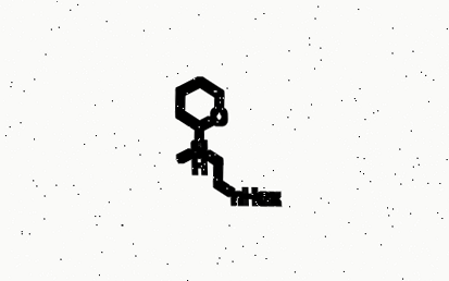 CCCCCCCC[SiH](C)C1CCCCO1